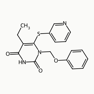 CCc1c(Sc2cccnc2)n(COc2ccccc2)c(=O)[nH]c1=O